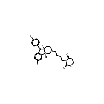 O=C1CCSC(=O)N1CCCCN1CC[C@@H]2[C@@H](C1)c1cc(F)ccc1N2c1ccc(F)cc1